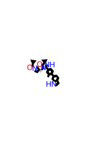 Cc1cc(C2NC3(CC3)C(=O)N2C[C@@H]2CCN(C(=O)C3CC3)C2)ccc1C1=CC=C2C=CNC2C1